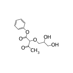 CC(=O)C(OCC(O)CO)C(=O)Oc1ccccc1